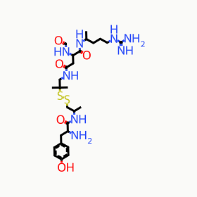 CC(CSSC(C)(C)CNC(=O)CC(NC=O)C(=O)NC(C)CCCNC(=N)N)NC(=O)C(N)Cc1ccc(O)cc1